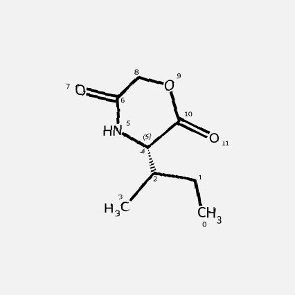 CCC(C)[C@@H]1NC(=O)COC1=O